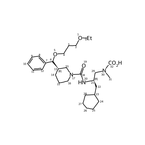 CCOCCCOC(c1ccccc1)[C@@H]1CCCN(C(=O)N[C@H](CC2CCCCC2)CN(C)C(=O)O)C1